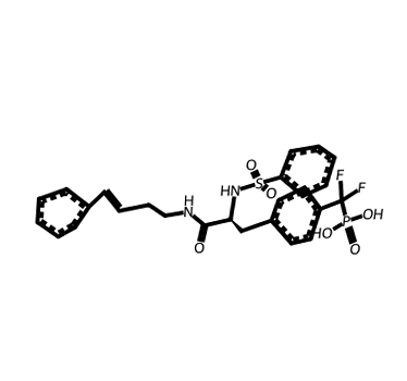 O=C(NCC/C=C/c1ccccc1)[C@H](Cc1ccc(C(F)(F)P(=O)(O)O)cc1)NS(=O)(=O)c1ccccc1